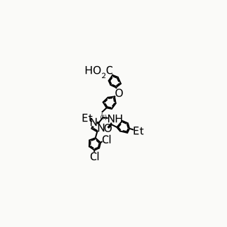 CCc1ccc(C(=O)N[C@@H](Cc2ccc(Oc3ccc(C(=O)O)cc3)cc2)c2nc(-c3ccc(Cl)cc3Cl)cn2CC)cc1